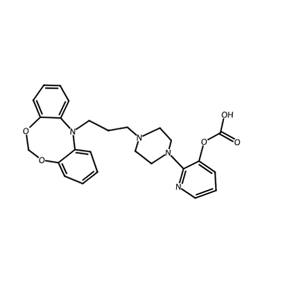 O=C(O)Oc1cccnc1N1CCN(CCCN2c3ccccc3OCOc3ccccc32)CC1